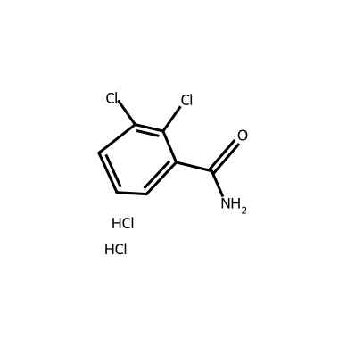 Cl.Cl.NC(=O)c1cccc(Cl)c1Cl